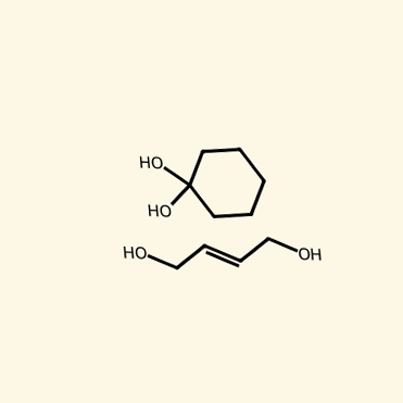 OC1(O)CCCCC1.OCC=CCO